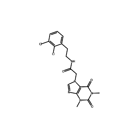 Cn1c(=O)c2c(ncn2CC(=O)NCCc2cccc(Cl)c2Cl)n(C)c1=O